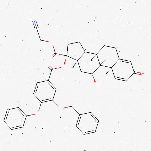 C[C@]12C=CC(=O)C=C1CC[C@H]1[C@@H]3CC[C@@](OC(=O)c4ccc(Oc5ccccc5)c(OCc5ccccc5)c4)(C(=O)OCC#N)[C@@]3(C)C[C@H](O)C12F